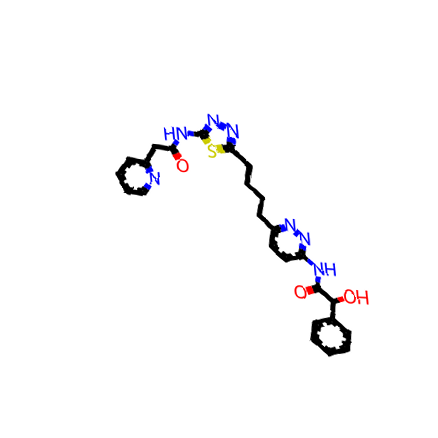 O=C(Cc1ccccn1)Nc1nnc(CCCCc2ccc(NC(=O)C(O)c3ccccc3)nn2)s1